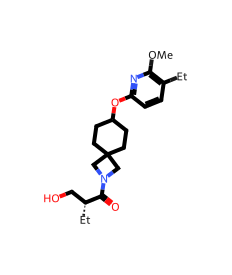 CCc1ccc(OC2CCC3(CC2)CN(C(=O)[C@H](CC)CO)C3)nc1OC